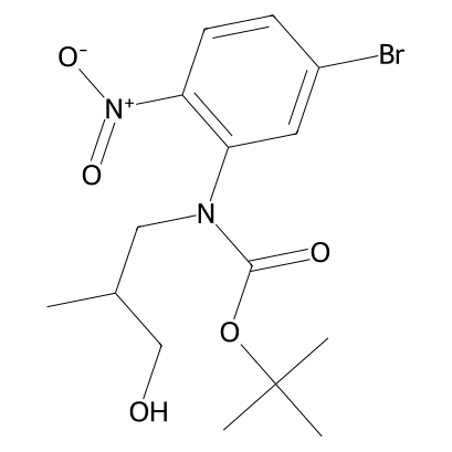 CC(CO)CN(C(=O)OC(C)(C)C)c1cc(Br)ccc1[N+](=O)[O-]